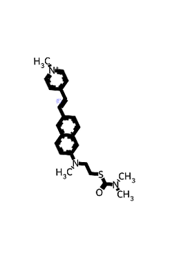 CN(C)C(=O)SCCN(C)c1ccc2cc(/C=C/c3cc[n+](C)cc3)ccc2c1